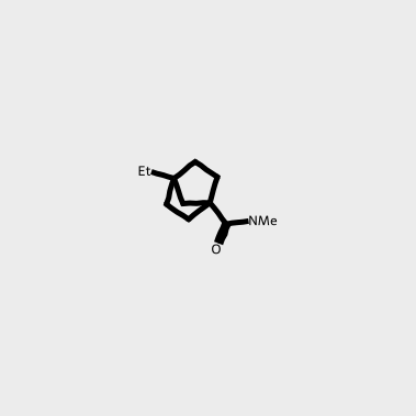 [CH2]CC12CCC(C(=O)NC)(CC1)C2